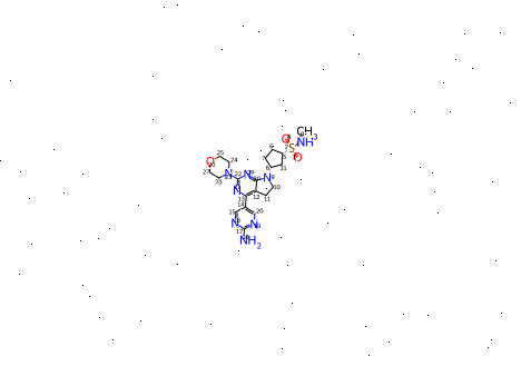 CNS(=O)(=O)[C@H]1CC[C@@H](N2CCc3c(-c4cnc(N)nc4)nc(N4CCOCC4)nc32)C1